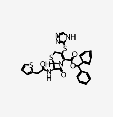 O=C(Cc1cccs1)N[C@@H]1C(=O)N2C(C(=O)OC(c3ccccc3)c3ccccc3)=C(Sc3nnc[nH]3)CS[C@@H]12